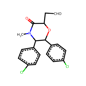 CN1C(=O)C(CC=O)OC(c2ccc(Cl)cc2)C1c1ccc(Cl)cc1